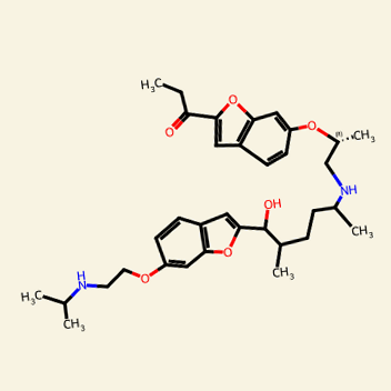 CCC(=O)c1cc2ccc(O[C@H](C)CNC(C)CCC(C)C(O)c3cc4ccc(OCCNC(C)C)cc4o3)cc2o1